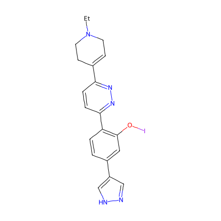 CCN1CC=C(c2ccc(-c3ccc(-c4cn[nH]c4)cc3OI)nn2)CC1